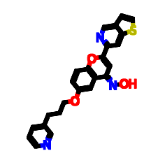 ON=c1cc(-c2cc3sccc3cn2)oc2ccc(OCCCc3cccnc3)cc12